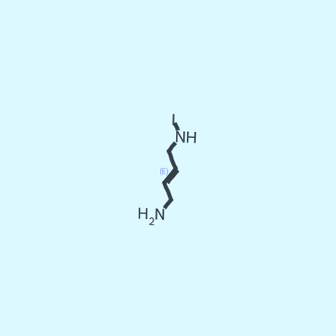 NC/C=C/CNI